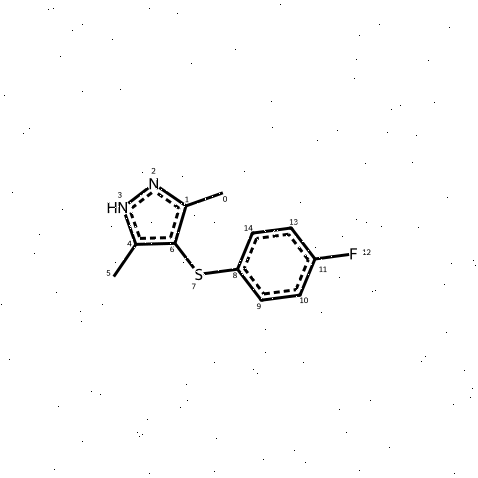 Cc1n[nH]c(C)c1Sc1ccc(F)cc1